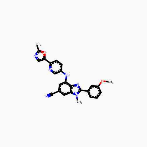 COc1cccc(-c2nc3c(Nc4ccc(-c5cnc(C)o5)nc4)cc(C#N)cc3n2C)c1